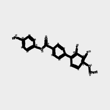 CCCCCOc1ccc(-c2ccc(C(=O)Oc3ccc(CCC)cc3)cc2)c(F)c1F